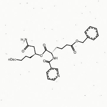 CCCCCCCCCCCCC[C@@H](CC(N)=O)OC(=O)[C@H](CCCC(=O)OCc1ccccc1)NC(=O)c1cccnc1